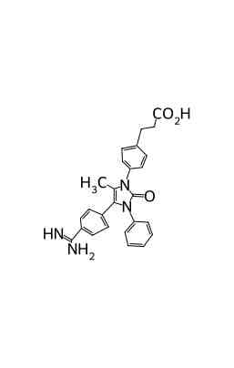 Cc1c(-c2ccc(C(=N)N)cc2)n(-c2ccccc2)c(=O)n1-c1ccc(CCC(=O)O)cc1